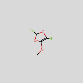 COC1=C(F)OC(F)O1